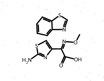 CON=C(C(=O)O)c1csc(N)n1.c1ccc2scnc2c1